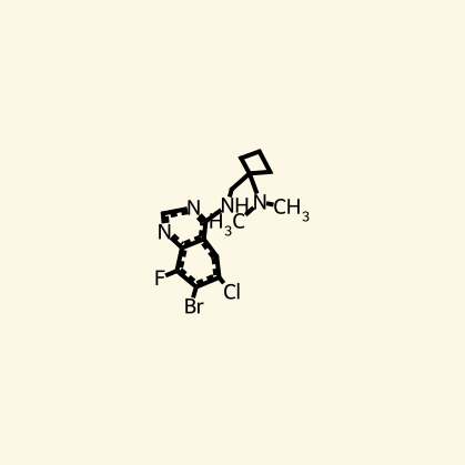 CN(C)C1(CNc2ncnc3c(F)c(Br)c(Cl)cc23)CCC1